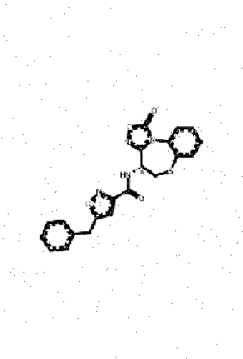 O=C(N[C@H]1CSc2ccccc2-n2c1noc2=O)c1cc(Cc2ccccc2)on1